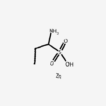 CCC(N)S(=O)(=O)O.[Zn]